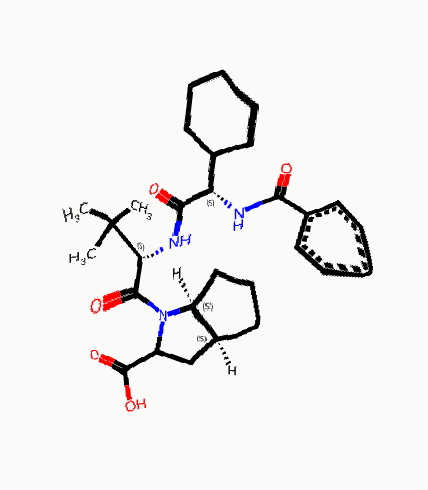 CC(C)(C)[C@H](NC(=O)[C@@H](NC(=O)c1ccccc1)C1CCCCC1)C(=O)N1C(C(=O)O)C[C@@H]2CCC[C@@H]21